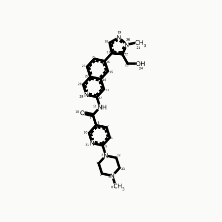 CN1CCN(c2ccc(C(=O)Nc3cc4cc(-c5cnn(C)c5CO)ccc4cn3)cn2)CC1